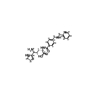 NC(CC[C@H](NC(=O)c1ccc(CNCc2ccccn2)cc1)C(=O)O)C1=NCCN1